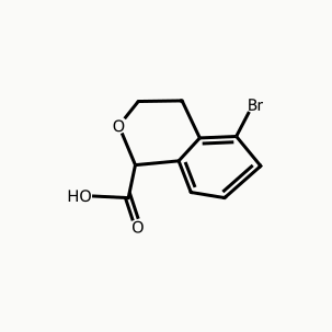 O=C(O)C1OCCc2c(Br)cccc21